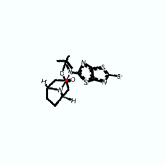 CN(c1nc2sc(Br)nc2s1)[C@@H]1C[C@H]2CC[C@@H](C1)N2C(=O)OC(C)(C)C